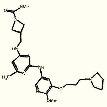 CNC(=O)N1CC(CNc2cc(C)nc(Nc3cnc(OC)c(OCCCN4CCCC4)c3)n2)C1